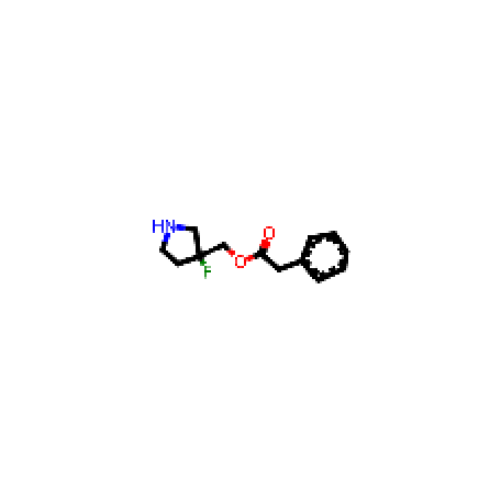 O=C(Cc1ccccc1)OCC1(F)CCNC1